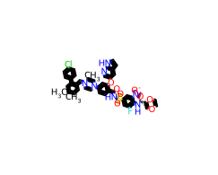 C[C@@H]1CN(c2ccc(C(=O)NS(=O)(=O)c3cc(F)c(NC[C@H]4COCCO4)c([N+](=O)[O-])c3)c(Oc3cnc4[nH]ccc4c3)c2)CCN1CC1=C(c2ccc(Cl)cc2)CC(C)(C)CC1